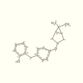 CC1(C)C2CC(Oc3ccc(Cc4ccccc4Cl)cc3)CC21